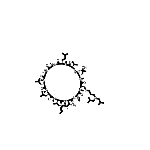 C/C=C/C[C@@H](C)[C@@H](O)[C@H]1C(=O)N[C@H](CC)C(=O)N(C)[C@H](CSCCCN(CC(C)C)CC(C)C)C(=O)N(C)[C@@H](CC(C)(C)O)C(=O)N[C@H](C(C)C)C(=O)N(C)[C@H](CCC(C)C)C(=O)N[C@H](C)C(=O)N[C@@H](C)C(=O)N(C)[C@@H](CC(C)C)C(=O)N(C)[C@H](CC(C)C)C(=O)N(C)[C@H](C(C)C)C(=O)N1C